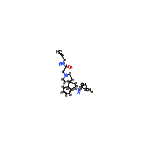 C#CCNC(=O)CN1CCC2(CC1)C[C@H](NC(=C)C)c1ccccc12